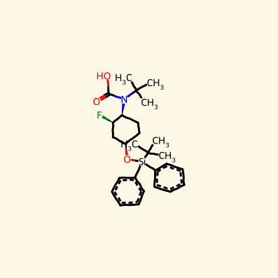 CC(C)(C)N(C(=O)O)[C@H]1CC[C@@H](O[Si](c2ccccc2)(c2ccccc2)C(C)(C)C)C[C@H]1F